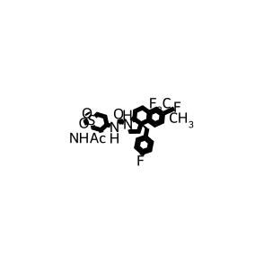 CC(=O)NC1CS(=O)(=O)CCC1NC(=O)N1CC[C@@]2(Cc3ccc(F)cc3)c3ccc(C(C)(F)C(F)(F)F)cc3CC[C@@H]12